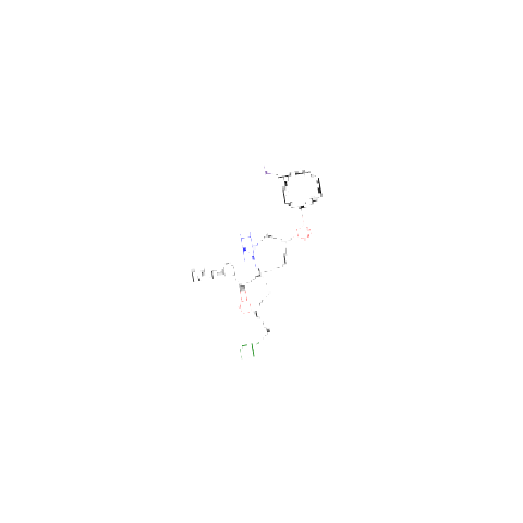 COC(=O)[C@]1(CCCCl)C[C@@H](Oc2cccc(I)c2)CN1